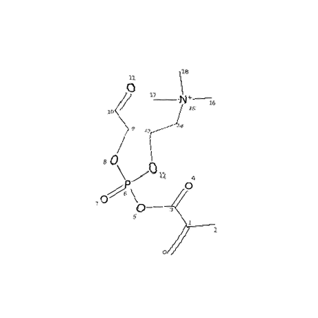 C=C(C)C(=O)OP(=O)(OCC=O)OCC[N+](C)(C)C